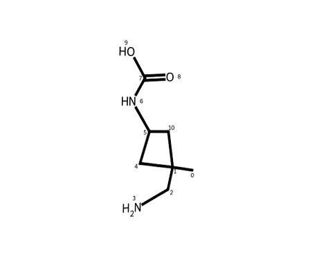 CC1(CN)CC(NC(=O)O)C1